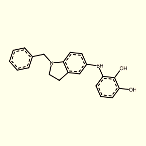 Oc1cccc(Bc2ccc3c(c2)CCN3Cc2ccccc2)c1O